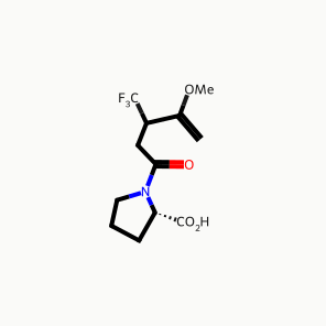 C=C(OC)C(CC(=O)N1CCC[C@H]1C(=O)O)C(F)(F)F